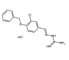 Cl.N=C(N)NN=Cc1ccc(OCc2ccccc2)c(Cl)c1